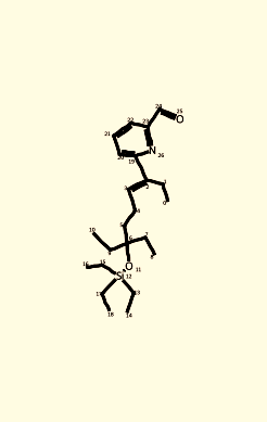 CC/C(=C\CCC(CC)(CC)O[Si](CC)(CC)CC)c1cccc(C=O)n1